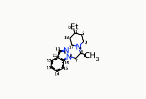 CCC1CCN(C(C)Cn2ncc3ccccc32)CC1